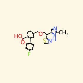 Cc1ncc(C(COCc2ccc(C(=O)O)c(-c3ccc(F)cc3)c2)c2nccs2)[nH]1